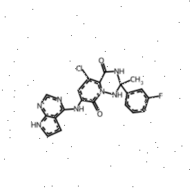 CC1(c2cccc(F)c2)NC(=O)c2c(Cl)cc(Nc3ncnc4[nH]ccc34)c(=O)n2N1